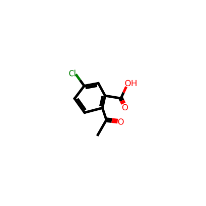 CC(=O)c1ccc(Cl)cc1C(=O)O